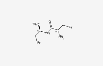 CC(C)C[C@@H]([C]=O)NC(=O)[C@@H](N)CC(C)C